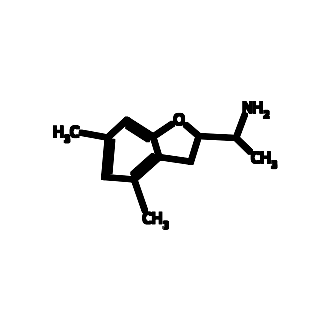 Cc1cc(C)c2c(c1)OC(C(C)N)C2